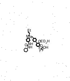 CC/C=C/c1nc2ccc(NC(=O)NC3CCCCC3)cc2n1Cc1ccc(-c2ccccc2OC(=O)O)cc1.O=C(O)C(F)(F)F